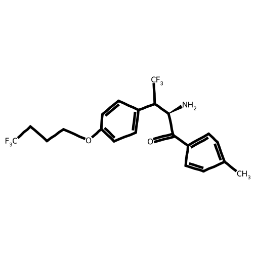 Cc1ccc(C(=O)[C@H](N)C(c2ccc(OCCCC(F)(F)F)cc2)C(F)(F)F)cc1